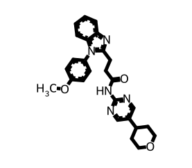 COc1ccc(-n2c(CCC(=O)Nc3ncc(C4CCOCC4)cn3)nc3ccccc32)cc1